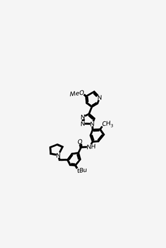 COc1cncc(-c2cn(-c3cc(NC(=O)c4cc(CN5CCCC5)cc(C(C)(C)C)c4)ccc3C)nn2)c1